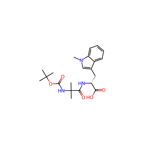 Cn1cc(C[C@@H](NC(=O)C(C)(C)NC(=O)OC(C)(C)C)C(=O)O)c2ccccc21